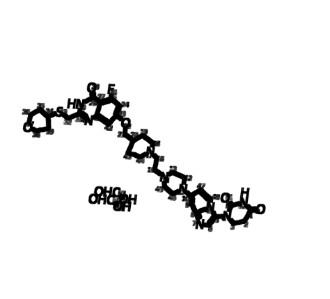 O=C1CCN(c2cnc3cc(N4CCN(CCN5CCC(COc6cc(F)c7c(=O)[nH]c(CSC8CCOCC8)nc7c6)CC5)CC4)ccn23)C(=O)N1.O=CO.O=CO